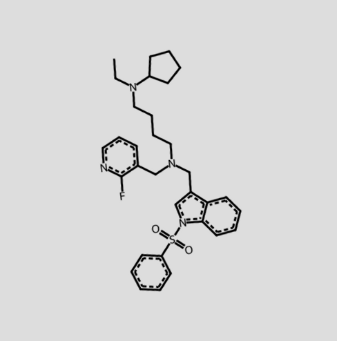 CCN(CCCCN(Cc1cccnc1F)Cc1cn(S(=O)(=O)c2ccccc2)c2ccccc12)C1CCCC1